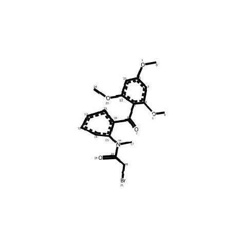 COc1cc(OC)c(C(=O)c2ccccc2N(C)C(=O)CBr)c(OC)c1